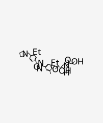 CCc1cc(-c2nc(-c3cc(C)c(OCC(O)CNC(=O)CO)c(CC)c3)no2)ccc1CN1CCCC1